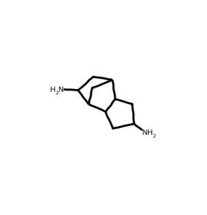 NC1CC2C3CC(N)C(C3)C2C1